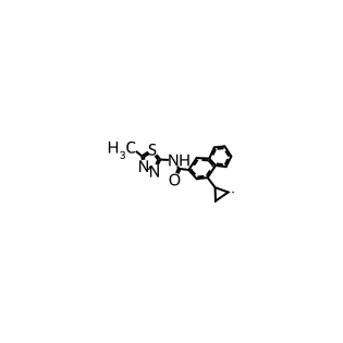 Cc1nnc(NC(=O)c2cc(C3[CH]C3)c3ccccc3c2)s1